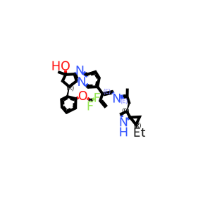 C=C/C(=C\N=C(/C)C[C@@H]1CNC12C[C@H]2CC)c1ccc2nc3c(n2c1)[C@@H](c1ccccc1OC(F)F)CC3(C)O